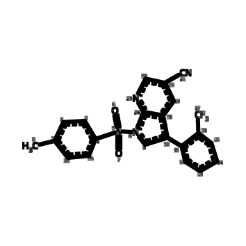 Cc1ccc(S(=O)(=O)n2cc(-c3ccccc3C(F)(F)F)c3cc(C#N)cnc32)cc1